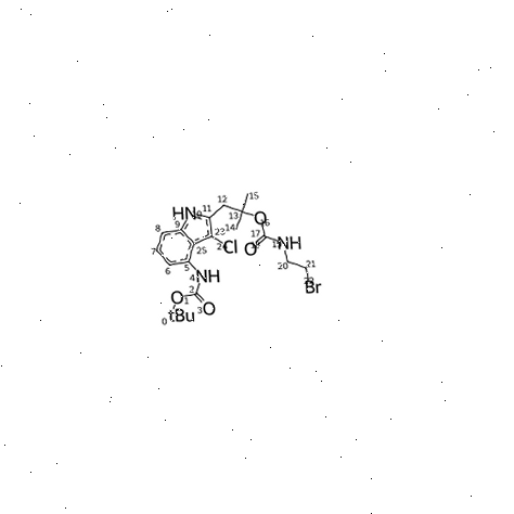 CC(C)(C)OC(=O)Nc1cccc2[nH]c(CC(C)(C)OC(=O)NCCBr)c(Cl)c12